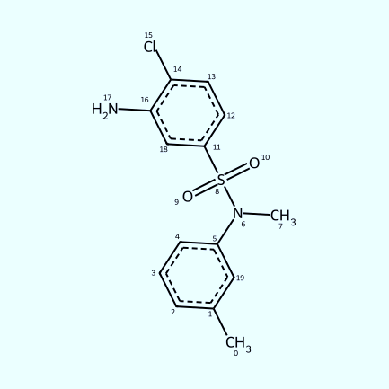 Cc1cccc(N(C)S(=O)(=O)c2ccc(Cl)c(N)c2)c1